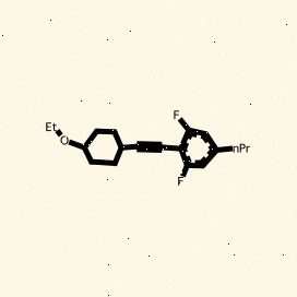 CCCc1cc(F)c(C#CC2CCC(OCC)CC2)c(F)c1